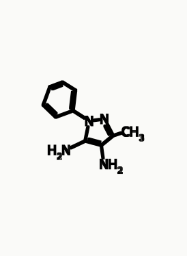 Cc1nn(-c2ccccc2)c(N)c1N